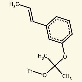 CC=Cc1cccc(OC(C)(C)OC(C)C)c1